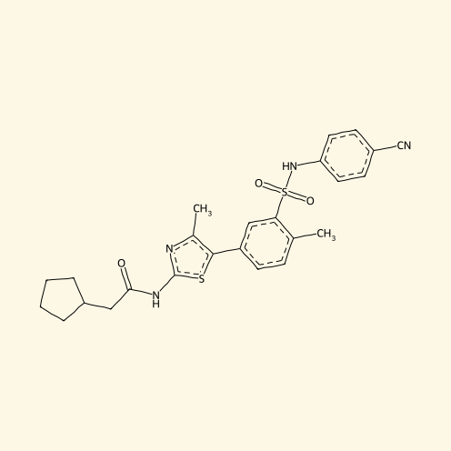 Cc1ccc(-c2sc(NC(=O)CC3CCCC3)nc2C)cc1S(=O)(=O)Nc1ccc(C#N)cc1